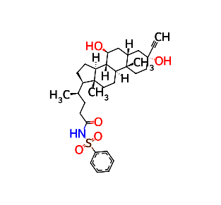 C#C[C@@]1(O)CC[C@@]2(C)[C@H](C[C@H](O)[C@@H]3[C@@H]2CC[C@]2(C)[C@@H]([C@H](C)CCC(=O)NS(=O)(=O)c4ccccc4)CC[C@@H]32)C1